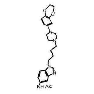 CC(=O)Nc1ccc2c(c1)ncn2CCCCN1CCN(c2ccc3c(c2)OCCO3)CC1